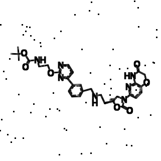 CC(C)(C)OC(=O)NCCOc1nccc(-c2cccc(CNCC[C@H]3CN(c4ccc5c(n4)NC(=O)CO5)C(=O)O3)c2)n1